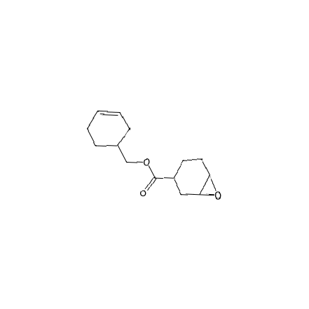 O=C(OCC1CC=CCC1)C1CCC2OC2C1